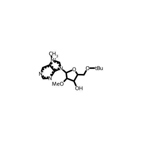 COC1C(O)C(COC(C)(C)C)OC1n1c[n+](C)c2cncnc21